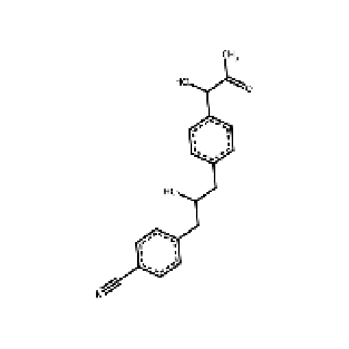 CC(=O)C(O)c1ccc(CC(O)Cc2ccc(C#N)cc2)cc1